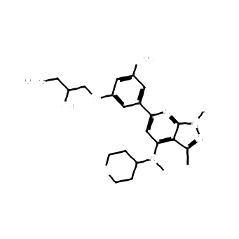 CNCC(O)COc1cc(OC)cc(-c2cc(N(C)C3CCOCC3)c3c(C)nn(C(C)C)c3n2)c1